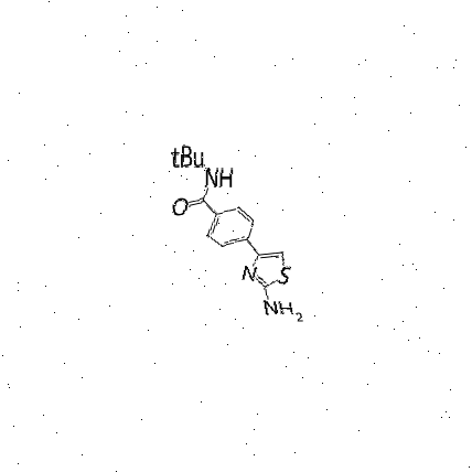 CC(C)(C)NC(=O)c1ccc(-c2csc(N)n2)cc1